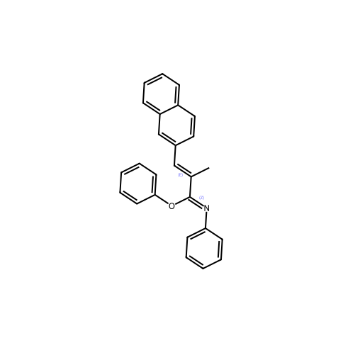 CC(=C\c1ccc2ccccc2c1)/C(=N/c1ccccc1)Oc1ccccc1